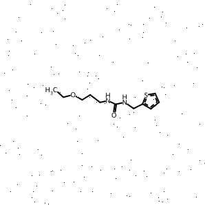 CCOCCCNC(=O)NCc1cccs1